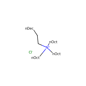 CCCCCCCCCCCC[N+](CCCCCCCC)(CCCCCCCC)CCCCCCCC.[Cl-]